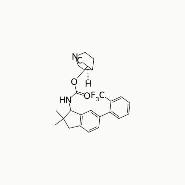 CC1(C)Cc2ccc(-c3ccccc3C(F)(F)F)cc2C1NC(=O)O[C@H]1CN2CCC1CC2